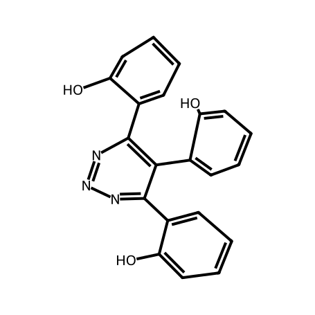 Oc1ccccc1-c1nnnc(-c2ccccc2O)c1-c1ccccc1O